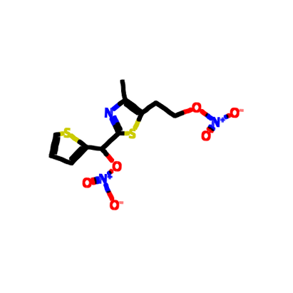 Cc1nc(C(O[N+](=O)[O-])c2cccs2)sc1CCO[N+](=O)[O-]